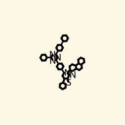 c1ccc(-c2ccc(-c3nc(-c4ccccc4)nc(-c4ccc(-c5cc6c7ccccc7sc6c6nc7c8ccc9ccccc9c8ccc7n56)cc4)n3)cc2)cc1